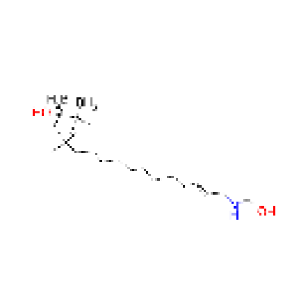 BC(C)(C)C(B)(O)CC(C)(C)CCCCCCCCC/C=C/CNCO